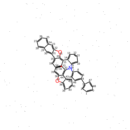 c1ccc(-c2ccc(N(c3ccccc3-c3cccc4c3oc3cc5ccccc5cc34)c3cccc4oc5ccccc5c34)cc2)cc1